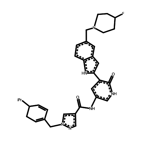 CC(C)C1C=CC(Cn2cc(C(=O)Nc3c[nH]c(=O)c(-c4cc5cc(CN6CCC(F)CC6)ccc5[nH]4)c3)cn2)=CC1